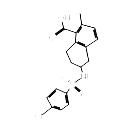 Cc1ccc2c(c1C(=O)O)CCC(NS(=O)(=O)c1ccc(Cl)cc1)C2